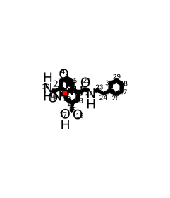 N=c1[nH]c(=O)c2ccc(C(N)=O)c3c1c(C(=O)O)cc(C(=O)NCCc1ccccc1)c23